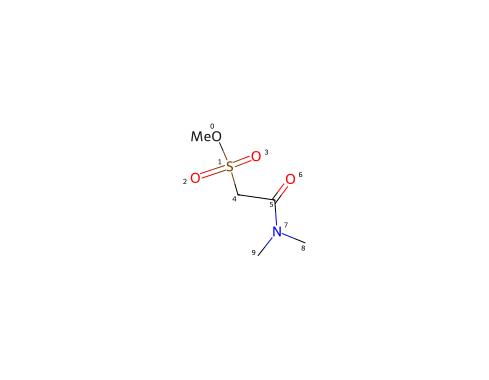 COS(=O)(=O)CC(=O)N(C)C